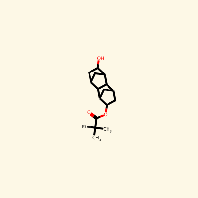 CCC(C)(C)C(=O)OC1CC2CC1C1C3CC(O)C(C3)C21